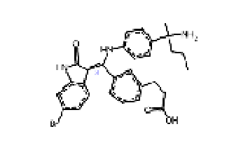 CCCC(C)(N)c1ccc(N/C(=C2\C(=O)Nc3cc(Br)ccc32)c2cccc(CCC(=O)O)c2)cc1